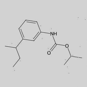 CCC(C)c1cccc(NC(=O)OC(C)C)c1